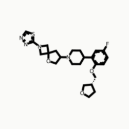 Fc1ccc(OC[C@@H]2CCOC2)c(C2CCN(C3COC4(C3)CN(c3nncs3)C4)CC2)c1